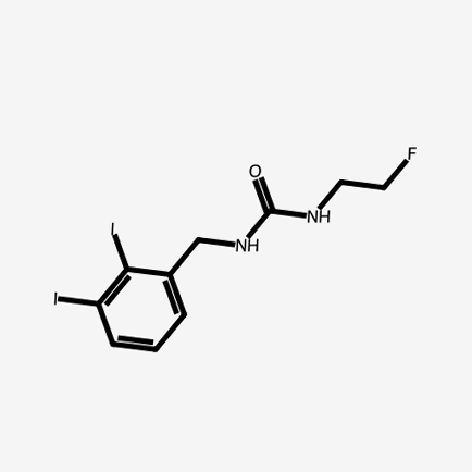 O=C(NCCF)NCc1cccc(I)c1I